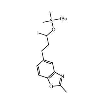 Cc1nc2cc(CCC(I)O[Si](C)(C)C(C)(C)C)ccc2o1